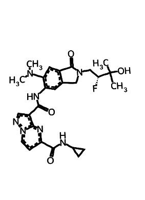 CN(C)c1cc2c(cc1NC(=O)c1cnn3ccc(C(=O)NC4CC4)nc13)CN(C[C@@H](F)C(C)(C)O)C2=O